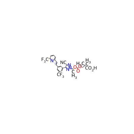 CC(OC(=O)OCC(C)(C)C(=O)O)n1nc(C#N)c(-c2cc(/C=C/c3cccc(C(F)(F)F)n3)cc(C(F)(F)F)c2)n1